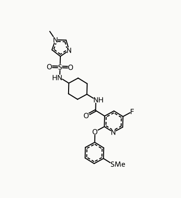 CSc1cccc(Oc2ncc(F)cc2C(=O)NC2CCC(NS(=O)(=O)c3cn(C)cn3)CC2)c1